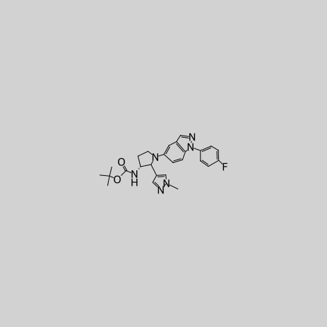 Cn1cc(C2[C@H](NC(=O)OC(C)(C)C)CCN2c2ccc3c(cnn3-c3ccc(F)cc3)c2)cn1